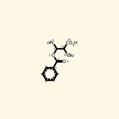 CCCC(OC(=O)c1ccccc1)C(C(=O)O)C(C)(C)C